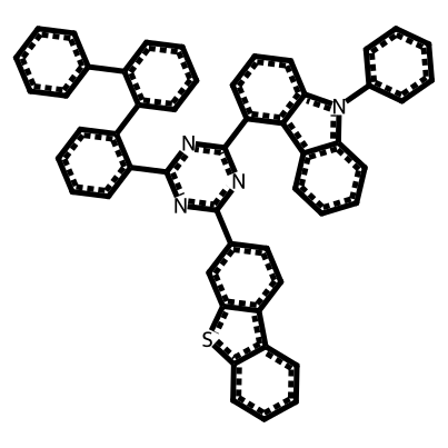 c1ccc(-c2ccccc2-c2ccccc2-c2nc(-c3ccc4c(c3)sc3ccccc34)nc(-c3cccc4c3c3ccccc3n4-c3ccccc3)n2)cc1